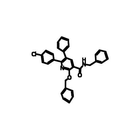 O=C(NCc1ccccc1)c1cc(-c2ccccc2)c(-c2ccc(Cl)cc2)nc1OCc1ccccc1